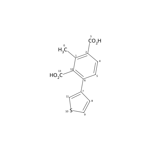 Cc1c(C(=O)O)ccc(-c2ccsc2)c1C(=O)O